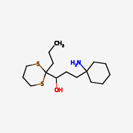 CCCC1(C(O)CCC2(N)CCCCC2)SCCCS1